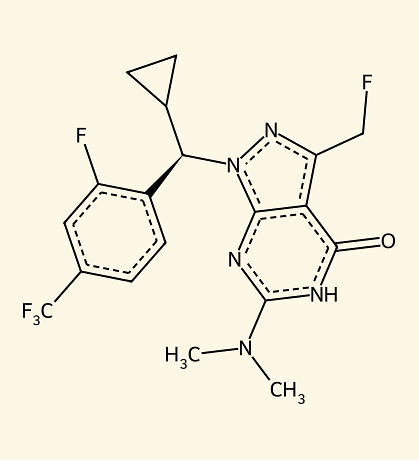 CN(C)c1nc2c(c(CF)nn2[C@@H](c2ccc(C(F)(F)F)cc2F)C2CC2)c(=O)[nH]1